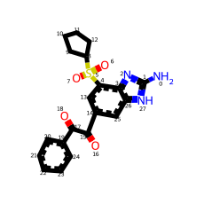 Nc1nc2c(S(=O)(=O)C3CCCC3)cc(C(=O)C(=O)c3ccccc3)cc2[nH]1